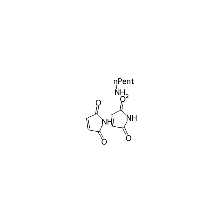 CCCCCN.O=C1C=CC(=O)N1.O=C1C=CC(=O)N1